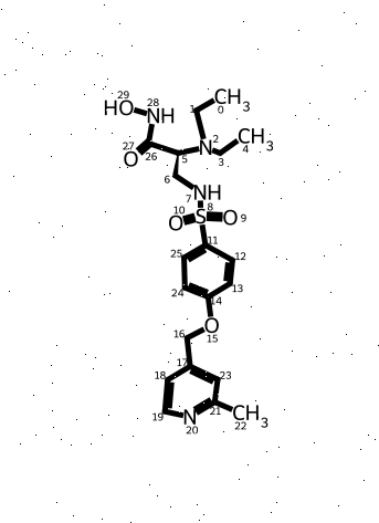 CCN(CC)[C@@H](CNS(=O)(=O)c1ccc(OCc2ccnc(C)c2)cc1)C(=O)NO